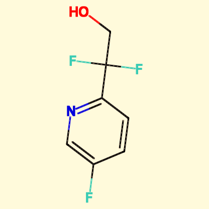 OCC(F)(F)c1ccc(F)cn1